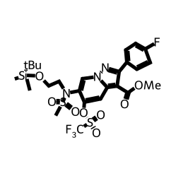 COC(=O)c1c(-c2ccc(F)cc2)nn2cc(N(CCO[Si](C)(C)C(C)(C)C)S(C)(=O)=O)c(OS(=O)(=O)C(F)(F)F)cc12